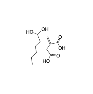 C=C(CC(=O)O)C(=O)O.CCCCCC(O)O